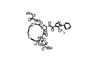 CCC(C)S(=O)(=O)NC(=O)[C@@]12C[C@H]1/C=C\CCCCC[C@H](NC(=O)OC(C)(C)C)C(=O)N1C[C@H](NC(=O)c3cnn(-c4ccccc4)c3C(F)(F)F)C[C@H]1C(=O)N2